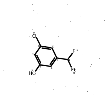 [CH2]CC(F)c1cc(O)cc(Cl)c1